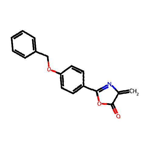 C=C1N=C(c2ccc(OCc3ccccc3)cc2)OC1=O